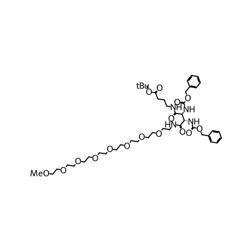 COCCOCCOCCOCCOCCOCCOCCOCCNC(=O)[C@@H](NC(=O)OCc1ccccc1)[C@H](NC(=O)OCc1ccccc1)C(=O)NCCCC(=O)OC(C)(C)C